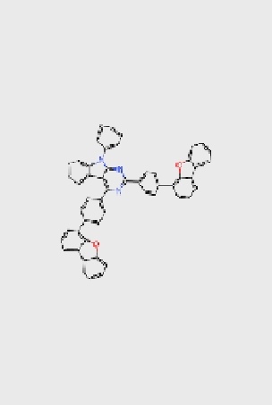 c1ccc(-n2c3ccccc3c3c(-c4ccc(-c5cccc6c5oc5ccccc56)cc4)nc(-c4ccc(-c5cccc6c5oc5ccccc56)cc4)nc32)cc1